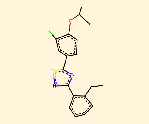 CCc1[c]cccc1-c1nsc(-c2ccc(OC(C)C)c(Cl)c2)n1